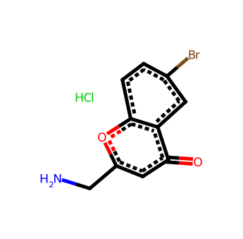 Cl.NCc1cc(=O)c2cc(Br)ccc2o1